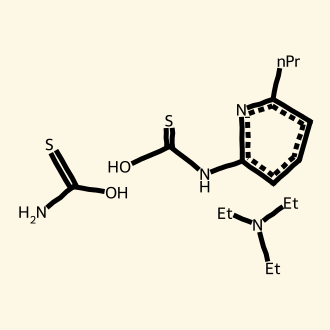 CCCc1cccc(NC(O)=S)n1.CCN(CC)CC.NC(O)=S